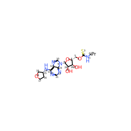 CC(C)NC(=S)OC[C@H]1O[C@@H](n2cnc3c(N[C@@H]4CCOC4)ncnc32)[C@H](O)[C@@H]1O